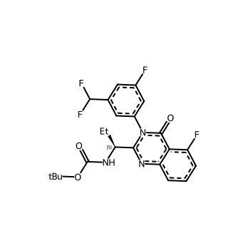 CC[C@H](NC(=O)OC(C)(C)C)c1nc2cccc(F)c2c(=O)n1-c1cc(F)cc(C(F)F)c1